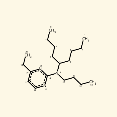 CCCCC(CCCC)N(CCCC)c1nccc(CC)n1